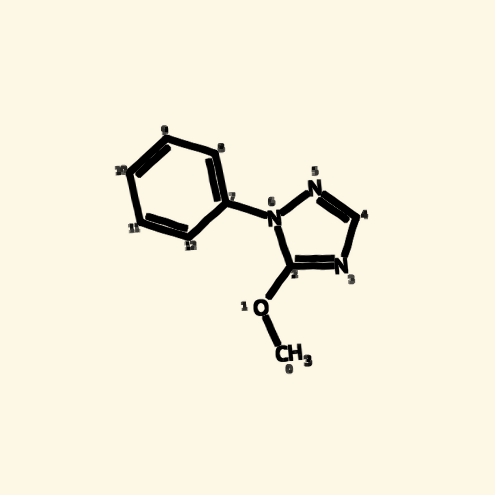 COc1ncnn1-c1ccccc1